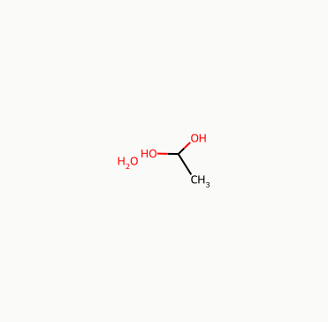 CC(O)O.O